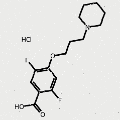 Cl.O=C(O)c1cc(F)c(OCCCN2CCCCC2)cc1F